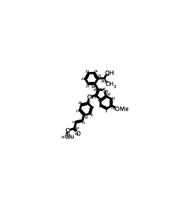 COc1ccc2c(Oc3ccc(/C=C/C(=O)OC(C)(C)C)cc3)c(-c3ccccc3[C@H](C)O)sc2c1